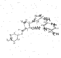 COc1cc(N(C)CC2CCN(C)CC2)ccc1-n1cnc(Nc2cnc(C#N)cn2)c1